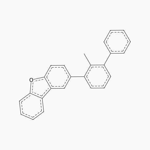 Cc1c(-c2ccccc2)cccc1-c1ccc2oc3ccccc3c2c1